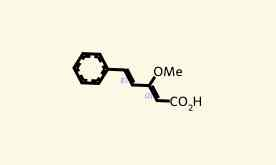 COC(=C\C(=O)O)/C=C/c1ccccc1